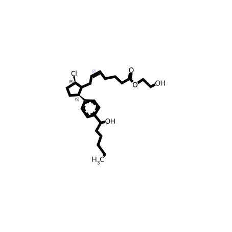 CCCCCC(O)c1ccc([C@H]2CC[C@@H](Cl)C2C/C=C\CCCC(=O)OCCO)cc1